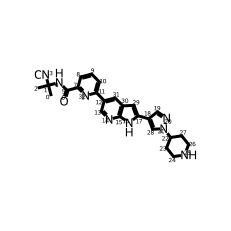 CC(C)(C#N)NC(=O)c1cccc(-c2cnc3[nH]c(-c4cnn(C5CCNCC5)c4)cc3c2)n1